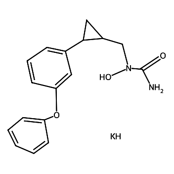 NC(=O)N(O)CC1CC1c1cccc(Oc2ccccc2)c1.[KH]